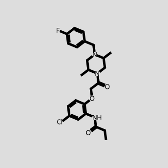 CCC(=O)Nc1cc(Cl)ccc1OCC(=O)N1CC(C)N(Cc2ccc(F)cc2)CC1C